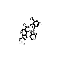 CCn1ncc2c(NC3CCOCC3)c(C(=O)NCc3c(C)cc(Cl)cc3Cl)cnc21